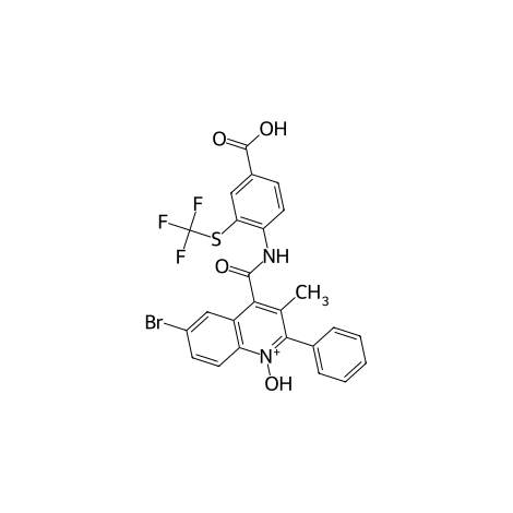 Cc1c(C(=O)Nc2ccc(C(=O)O)cc2SC(F)(F)F)c2cc(Br)ccc2[n+](O)c1-c1ccccc1